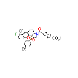 CCc1ccc(S(=O)(=O)C23CCN(C(=O)C4CC5(CC(C(=O)O)C5)C4)C2CCc2cc(C(F)(C(F)(F)F)C(F)(F)F)ccc23)cc1